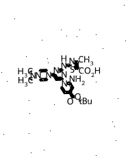 Cc1nc(Nc2nc(N3CCN(N(C)C)CC3)cc(N3CCC(C(=O)OC(C)(C)C)CC3N)n2)sc1C(=O)O